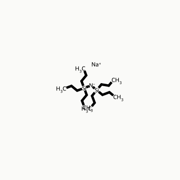 CCC[Si](CCC)(CCC)[N-][Si](CCC)(CCC)CCC.[Na+]